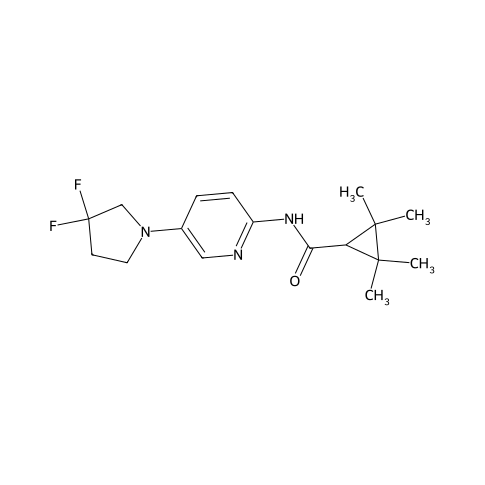 CC1(C)C(C(=O)Nc2ccc(N3CCC(F)(F)C3)cn2)C1(C)C